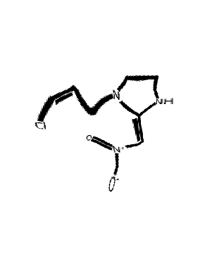 O=[N+]([O-])C=C1NCCN1C/C=C\Cl